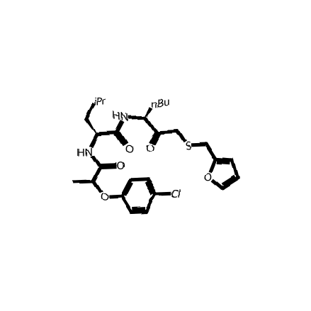 CCCC[C@H](NC(=O)[C@H](CC(C)C)NC(=O)C(C)Oc1ccc(Cl)cc1)C(=O)CSCc1ccco1